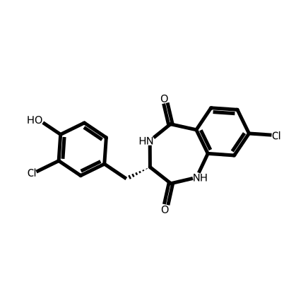 O=C1N[C@@H](Cc2ccc(O)c(Cl)c2)C(=O)Nc2cc(Cl)ccc21